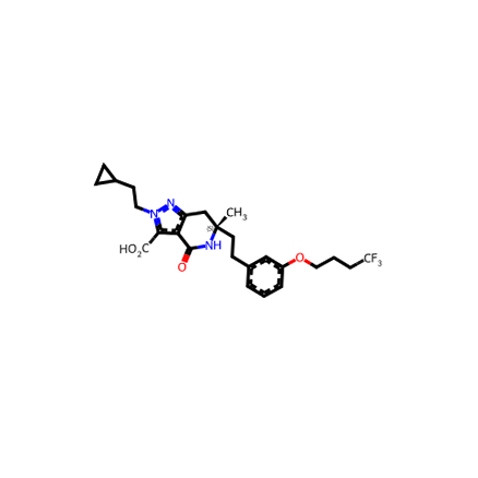 C[C@]1(CCc2cccc(OCCCC(F)(F)F)c2)Cc2nn(CCC3CC3)c(C(=O)O)c2C(=O)N1